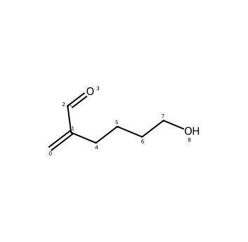 C=C([C]=O)CCCCO